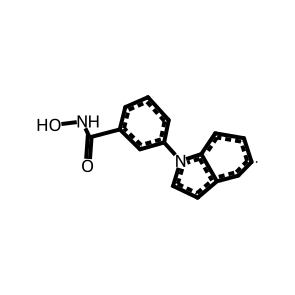 O=C(NO)c1cccc(-n2ccc3c[c]ccc32)c1